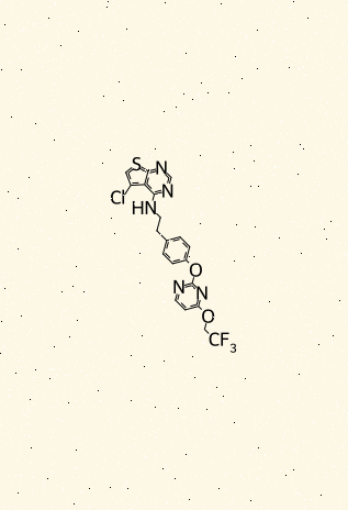 FC(F)(F)COc1ccnc(Oc2ccc(CCNc3ncnc4scc(Cl)c34)cc2)n1